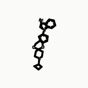 CC(=O)c1cn(-c2ccc3c(c2)COC2(CCN(C4CCC4)CC2)O3)c2ccccc12